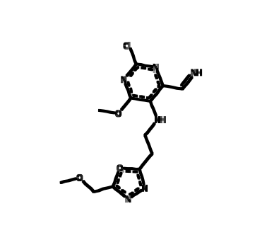 COCc1nnc(CCNc2c(C=N)nc(Cl)nc2OC)o1